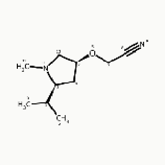 CC(C)[C@@H]1C[C@H](OCC#N)CN1C